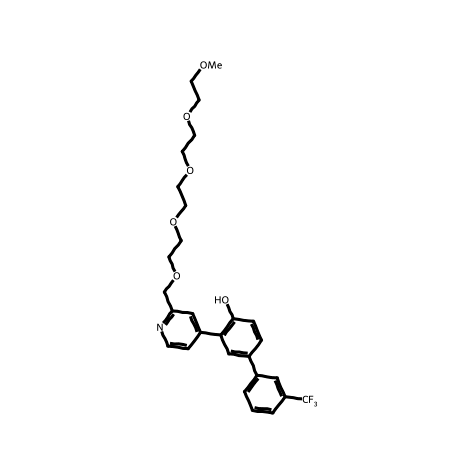 COCCOCCOCCOCCOCc1cc(-c2cc(-c3cccc(C(F)(F)F)c3)ccc2O)ccn1